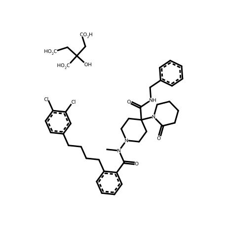 CN(C(=O)c1ccccc1CCCCc1ccc(Cl)c(Cl)c1)N1CCC(C(=O)NCc2ccccc2)(N2CCCCC2=O)CC1.O=C(O)CC(O)(CC(=O)O)C(=O)O